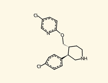 Clc1ccc([C@@H]2CNCC[C@H]2COc2ccc(Cl)cn2)cc1